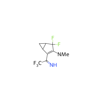 CNC1=C(C(=N)C(F)(F)F)C2CC2C1(F)F